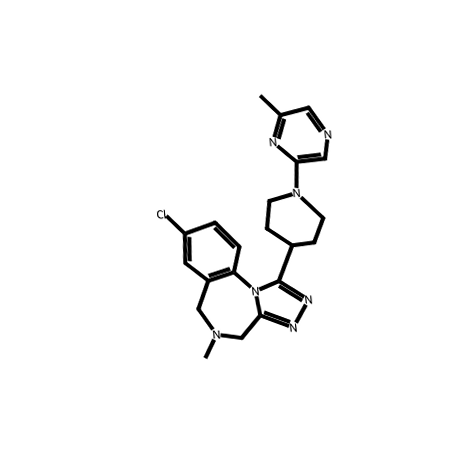 Cc1cncc(N2CCC(c3nnc4n3-c3ccc(Cl)cc3CN(C)C4)CC2)n1